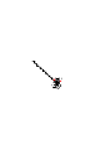 CCCC=CCCCCCCCCCCCCC(CC)(P(=O)=O)[N+](C)(C)C